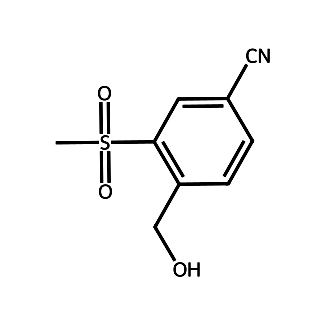 CS(=O)(=O)c1cc(C#N)ccc1CO